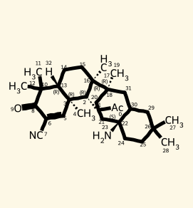 CC(=O)C[C@@H]1[C@@]2(C)C=C(C#N)C(=O)C(C)(C)[C@@H]2CC[C@@]1(C)[C@]1(C)CC[C@@]2(N)CCC(C)(C)CC2C1